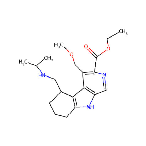 CCOC(=O)c1ncc2[nH]c3c(c2c1COC)C(CNC(C)C)CCC3